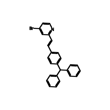 Brc1ccnc(C=Cc2ccc(C(c3ccccc3)c3ccccc3)cc2)c1